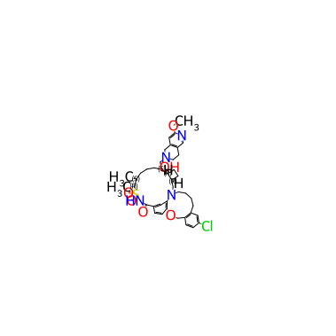 COc1cc2c(cn1)CCN(C[C@]1(O)CCC[C@H](C)[C@@H](C)S(=O)(=O)NC(=O)c3ccc4c(c3)N(CCCCc3cc(Cl)ccc3CO4)C[C@@H]3CC[C@H]31)C2